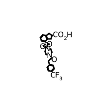 O=C(O)C1Cc2cccc(S(=O)(=O)N3CCN(C(=O)Cc4ccc(C(F)(F)F)cc4)CC3)c2C1